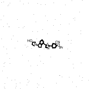 CC(C)Oc1ccc(-c2ncc(-c3cccc4c3CCC4N3CCC(O)C3)s2)cc1C#N